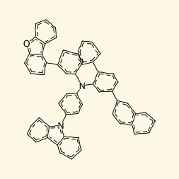 c1ccc(-c2ccc(-c3ccc4ccccc4c3)cc2N(c2ccc(-n3c4ccccc4c4ccccc43)cc2)c2cccc(-c3cccc4oc5ccccc5c34)c2)cc1